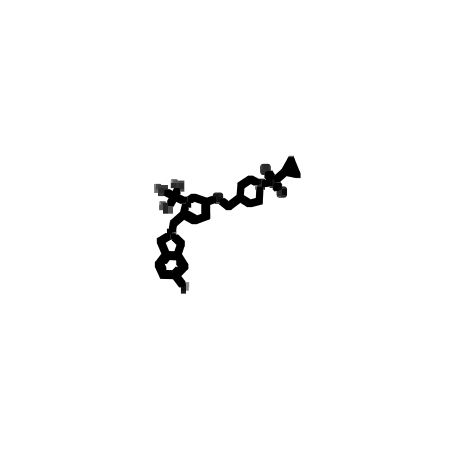 [2H]C([2H])([2H])N1CC(OCC2CCN(S(=O)(=O)C3CC3)CC2)=CC=C1CN1Cc2ccc(F)cc2C1